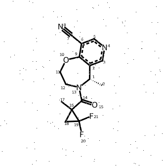 C[C@H]1c2cncc(C#N)c2OCCN1C(=O)C1(C)CC1(F)F